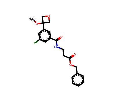 COC1(c2cc(F)cc(C(=O)NCCC(=O)OCc3ccccc3)c2)COC1